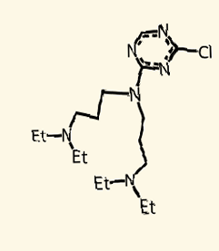 CCN(CC)CCCN(CCCN(CC)CC)c1ncnc(Cl)n1